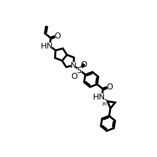 C=CC(=O)NC1CC2CN(S(=O)(=O)c3ccc(C(=O)N[C@@H]4CC4c4ccccc4)cc3)CC2C1